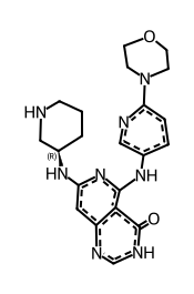 O=c1[nH]cnc2cc(N[C@@H]3CCCNC3)nc(Nc3ccc(N4CCOCC4)nc3)c12